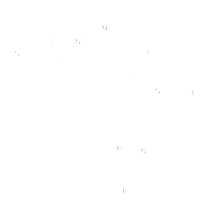 C#Cc1ccc(-c2cc(C)nc3c(OCc4c(Cl)ccnc4Cn4cccc(C#N)c4=O)cccc23)n1C